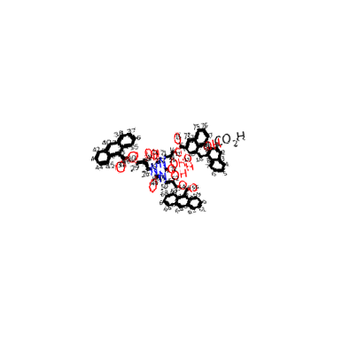 O=C(O)c1cc2ccccc2c(Cc2c(O)c(C(=O)OCC(O)Cn3c(=O)n(CC(O)COC(=O)c4c5ccccc5cc5ccccc45)c(=O)n(CC(O)COC(=O)c4c5ccccc5cc5ccccc45)c3=O)cc3ccccc23)c1O